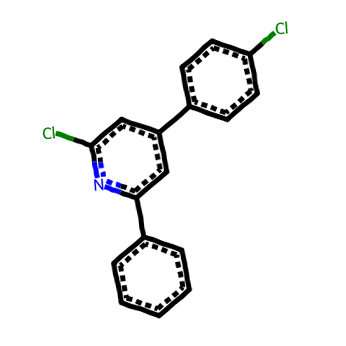 Clc1ccc(-c2cc(Cl)nc(-c3ccccc3)c2)cc1